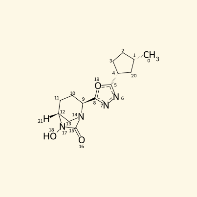 C[C@H]1CC[C@@H](c2nnc([C@@H]3CC[C@@H]4CN3C(=O)N4O)o2)C1